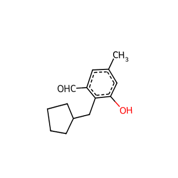 Cc1cc(O)c(CC2CCCC2)c(C=O)c1